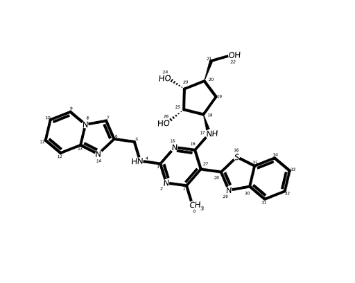 Cc1nc(NCc2cn3ccccc3n2)nc(N[C@@H]2C[C@H](CO)[C@@H](O)[C@H]2O)c1-c1nc2ccccc2s1